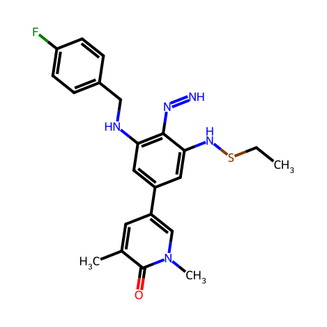 CCSNc1cc(-c2cc(C)c(=O)n(C)c2)cc(NCc2ccc(F)cc2)c1N=N